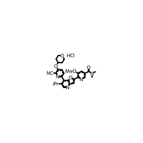 COc1cc(C(=O)N(C)C)cnc1-c1cc2ncc(C(C)C)c(-c3ccc(OC4CCOCC4)c(C#N)n3)c2o1.Cl